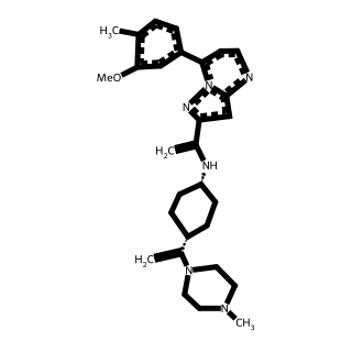 C=C(N[C@H]1CC[C@@H](C(=C)N2CCN(C)CC2)CC1)c1cc2nccc(-c3ccc(C)c(OC)c3)n2n1